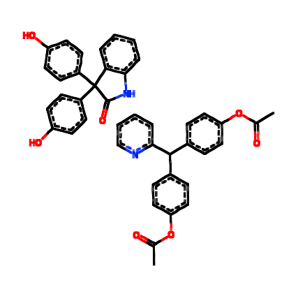 CC(=O)Oc1ccc(C(c2ccc(OC(C)=O)cc2)c2ccccn2)cc1.O=C1Nc2ccccc2C1(c1ccc(O)cc1)c1ccc(O)cc1